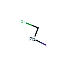 Br[CH2][Pb][I]